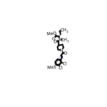 C=CC[C@@H](C(=O)OC)N(C)C(=O)C1CCN(C(=O)/C=C/c2ccc(SC)c(Cl)c2Cl)CC1